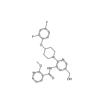 COc1ncccc1C(=O)Nc1cc(CO)cnc1N1CCC(Oc2ccc(F)cc2F)CC1